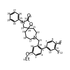 CCOc1ccc(-c2ccc(F)c(F)c2)c(CN2CCCC3(CC2)CN(c2ccccc2)C(=O)O3)c1